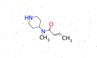 C/[C]=C/C(=O)N(C)C1CCNCC1